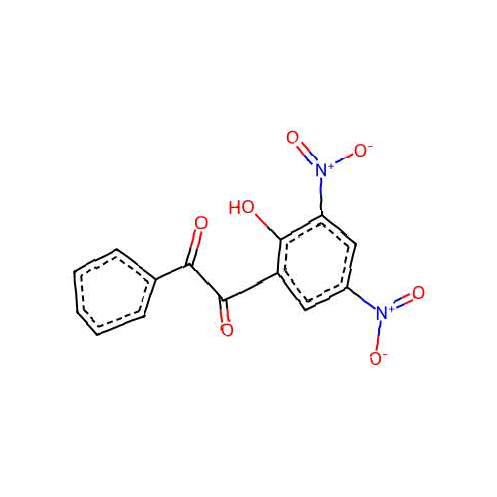 O=C(C(=O)c1cc([N+](=O)[O-])cc([N+](=O)[O-])c1O)c1ccccc1